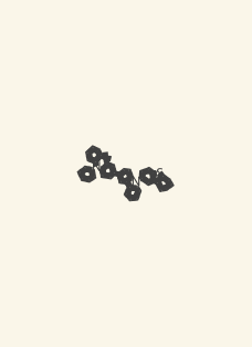 CC1(C)c2ccccc2N(c2ccccc2)c2ccc(-c3ccc4c(c3)c3ccccc3n4-c3ccc4sc5ccccc5c4c3)cc21